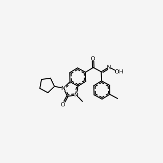 Cc1cccc(/C(=N\O)C(=O)c2ccc3c(c2)n(C)c(=O)n3C2CCCC2)c1